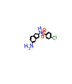 Nc1ccc2c(c1)CC(NS(=O)(=O)c1ccc(Cl)cc1)C2